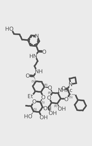 CCC1C[C@H](C(=O)NCCNC(=O)c2cncc(CCCO)c2)C[C@@H](O[C@@H]2OC(CO)[C@H](O)C(O[C@@H](CC3CCCCC3)C(=O)N3CCC3)C2NC(C)=O)C1O[C@@H]1OC(C)[C@@H](O)C(O)C1O